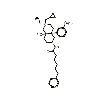 COc1cccc([C@]23CC[N@+](CC(C)C)(CC4CC4)CC2(O)CC[C@@H](NC(=O)CCCCCc2ccccc2)C3)c1